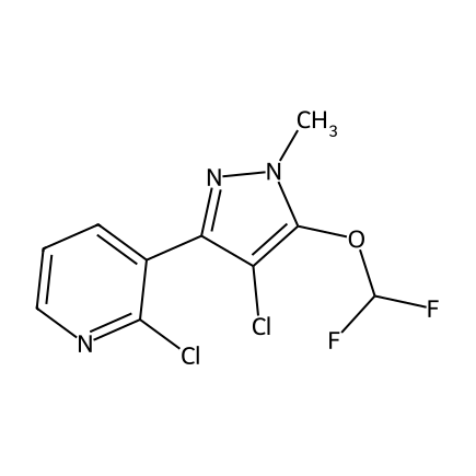 Cn1nc(-c2cccnc2Cl)c(Cl)c1OC(F)F